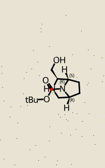 CC(C)(C)OC(=O)N1[C@@H]2CC[C@H]1[C@H](CO)NC2